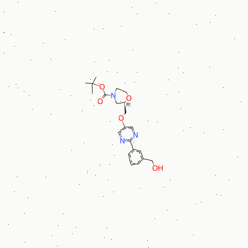 CC(C)(C)OC(=O)N1CCO[C@@H](COc2cnc(-c3cccc(CO)c3)nc2)C1